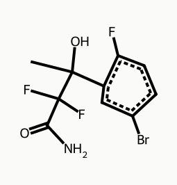 CC(O)(c1cc(Br)ccc1F)C(F)(F)C(N)=O